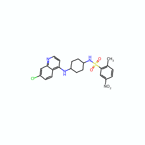 Cc1ccc([N+](=O)[O-])cc1S(=O)(=O)NC1CCC(Nc2ccnc3cc(Cl)ccc23)CC1